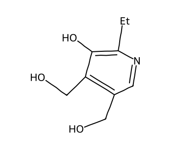 CCc1ncc(CO)c(CO)c1O